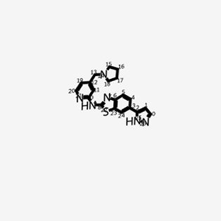 c1cc(-c2ccc3nc(Nc4cc(CN5CCCC5)ccn4)sc3c2)[nH]n1